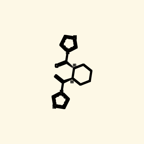 C=C([C@@H]1CCCC[C@H]1C(=O)n1ccnc1)n1ccnc1